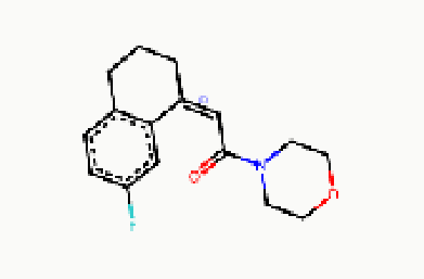 O=C(/C=C1/CCCc2ccc(F)cc21)N1CCOCC1